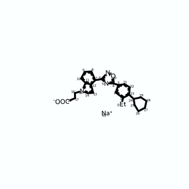 CCc1cc(-c2nc(-c3cccc4c3ccn4CCC(=O)[O-])no2)ccc1C1CCCCC1.[Na+]